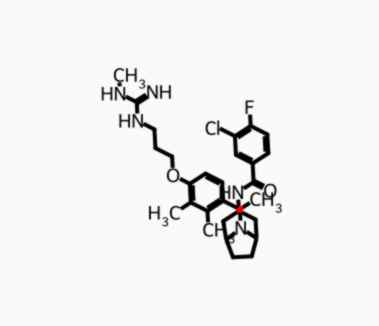 CNC(=N)NCCCOc1ccc(C(C)N2C3CCC2CC(NC(=O)c2ccc(F)c(Cl)c2)C3)c(C)c1C